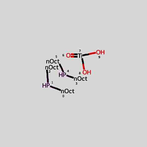 CCCCCCCCPCCCCCCCC.CCCCCCCCPCCCCCCCC.[O]=[Ti]([OH])[OH]